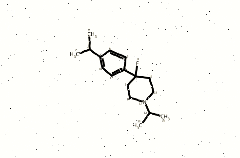 CC(C)c1ccc(C2(F)CCN(C(C)C)CC2)cc1